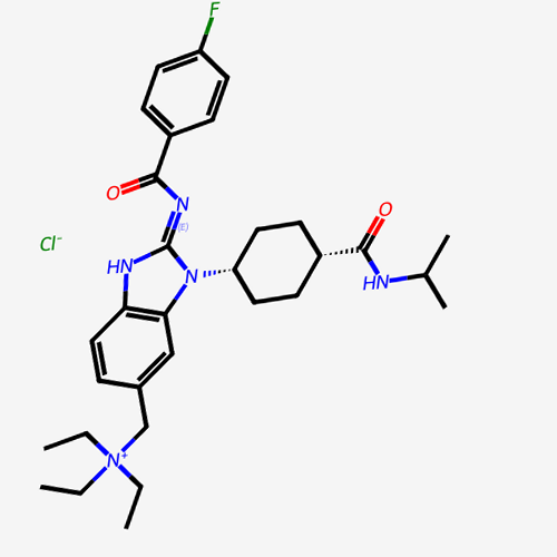 CC[N+](CC)(CC)Cc1ccc2[nH]/c(=N\C(=O)c3ccc(F)cc3)n([C@H]3CC[C@@H](C(=O)NC(C)C)CC3)c2c1.[Cl-]